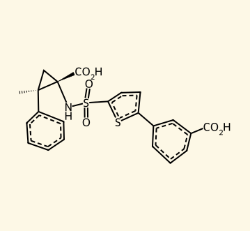 C[C@]1(c2ccccc2)C[C@@]1(NS(=O)(=O)c1ccc(-c2cccc(C(=O)O)c2)s1)C(=O)O